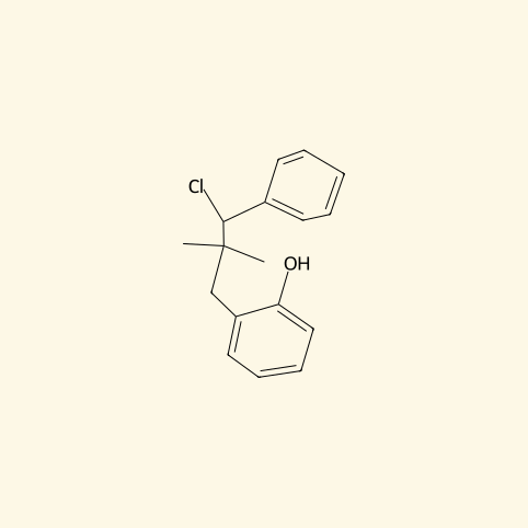 CC(C)(Cc1ccccc1O)C(Cl)c1ccccc1